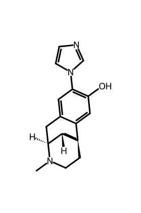 CN1CC[C@]23CCCC[C@H]2[C@@H]1Cc1cc(-n2ccnc2)c(O)cc13